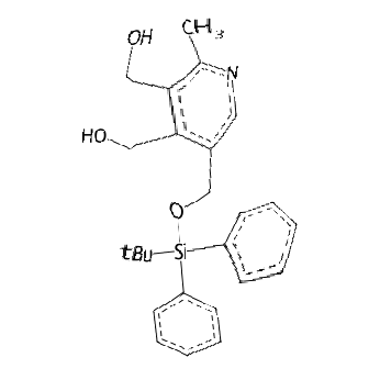 Cc1ncc(CO[Si](c2ccccc2)(c2ccccc2)C(C)(C)C)c(CO)c1CO